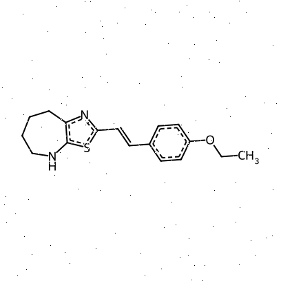 CCOc1ccc(/C=C/c2nc3c(s2)NCCCC3)cc1